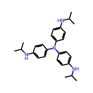 CC(C)Nc1ccc(N(c2ccc(NC(C)C)cc2)c2ccc(NC(C)C)cc2)cc1